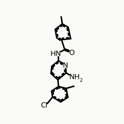 Cc1ccc(C(=O)Nc2ccc(-c3cc(Cl)ccc3C)c(N)n2)cc1